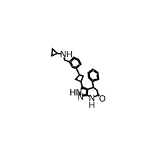 O=C1CC(c2ccccc2)c2c(n[nH]c2C2CC(c3cccc(CNC4CC4)c3)C2)N1